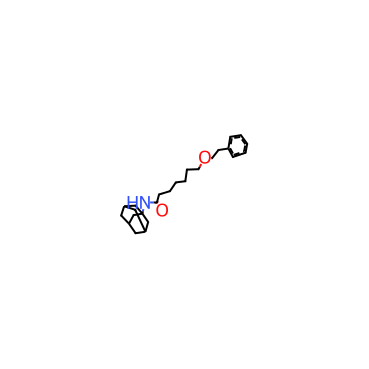 O=C(CCCCCCOCCc1ccccc1)NC12CC3CC(CC(C3)C1)C2